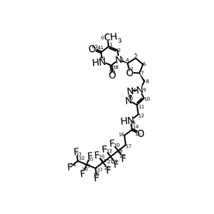 Cc1cn([C@H]2CC[C@@H](Cn3cc(CNC(=O)CCC(F)(F)C(F)(F)C(F)(F)C(F)C(F)(F)C(F)F)nn3)O2)c(=O)[nH]c1=O